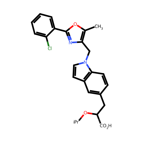 Cc1oc(-c2ccccc2Cl)nc1Cn1ccc2cc(CC(OC(C)C)C(=O)O)ccc21